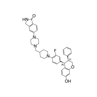 O=C1NCc2cc(N3CCN(CC4CCN(c5ccc([C@@H]6c7ccc(O)cc7OC[C@@H]6c6ccccc6)cc5F)CC4)CC3)ccc21